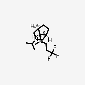 CC(C)N1C[C@H]2CC[C@@H](C1)[C@H]2N(C)CCC(F)(F)F